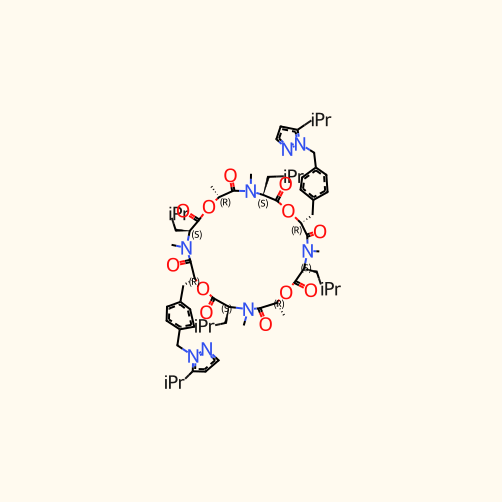 CC(C)C[C@H]1C(=O)O[C@H](Cc2ccc(Cn3nccc3C(C)C)cc2)C(=O)N(C)[C@@H](CC(C)C)C(=O)O[C@H](C)C(=O)N(C)[C@@H](CC(C)C)C(=O)O[C@H](Cc2ccc(Cn3nccc3C(C)C)cc2)C(=O)N(C)[C@@H](CC(C)C)C(=O)O[C@H](C)C(=O)N1C